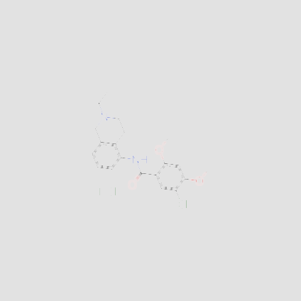 CCN1CCc2c(cccc2NC(=O)c2cc(Cl)c(OC)cc2OC)C1.Cl